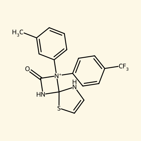 Cc1cccc([N+]2(c3ccc(C(F)(F)F)cc3)C(=O)NC23NC=CS3)c1